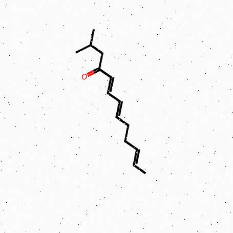 C/C=C/CC/C=C/C=C/C(=O)CC(C)C